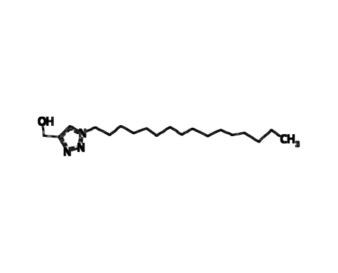 CCCCCCCCCCCCCCCCn1cc(CO)nn1